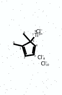 CC1=CC=C[C]1(C)[Ti+3].[Cl-].[Cl-].[Cl-]